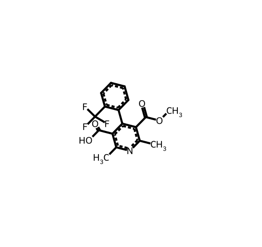 COC(=O)c1c(C)nc(C)c(C(=O)O)c1-c1ccccc1C(F)(F)F